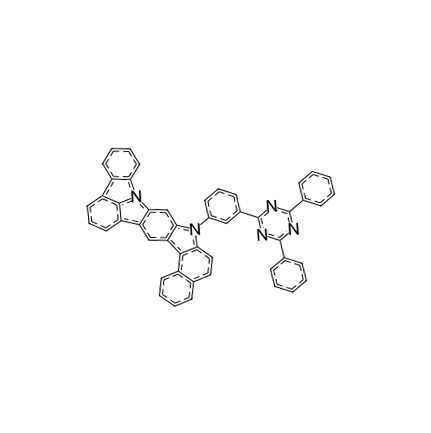 c1ccc(-c2nc(-c3ccccc3)nc(-c3cccc(-n4c5cc6c(cc5c5c7ccccc7ccc54)c4cccc5c7ccccc7n6c54)c3)n2)cc1